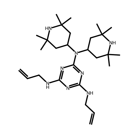 C=CCNc1nc(NCC=C)nc(N(C2CC(C)(C)NC(C)(C)C2)C2CC(C)(C)NC(C)(C)C2)n1